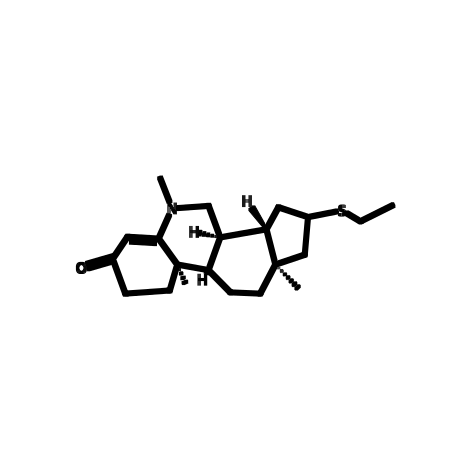 CCSC1C[C@H]2[C@@H]3CN(C)C4=CC(=O)CC[C@]4(C)[C@@H]3CC[C@]2(C)C1